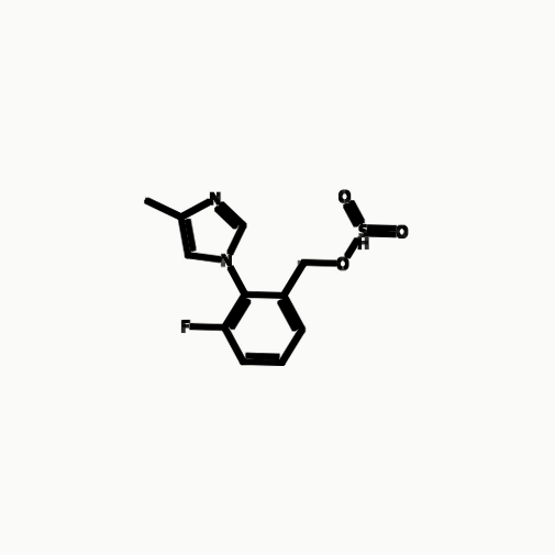 Cc1cn(-c2c(F)cccc2[CH]O[SH](=O)=O)cn1